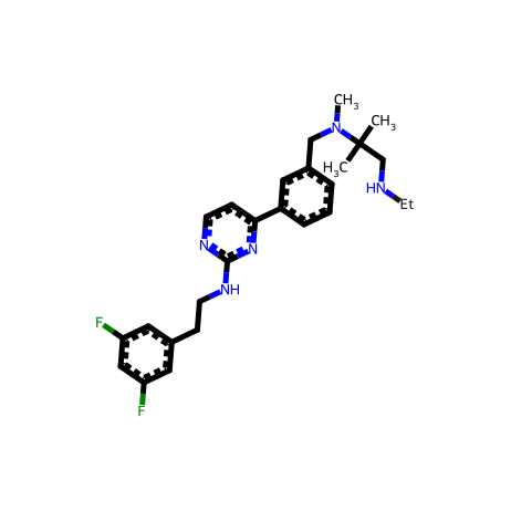 CCNCC(C)(C)N(C)Cc1cccc(-c2ccnc(NCCc3cc(F)cc(F)c3)n2)c1